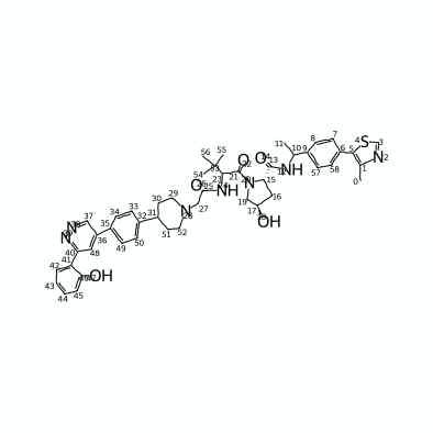 Cc1ncsc1-c1ccc(C(C)NC(=O)[C@@H]2C[C@@H](O)CN2C(=O)C(NC(=O)CN2CCC(c3ccc(-c4cnnc(-c5ccccc5O)c4)cc3)CC2)C(C)(C)C)cc1